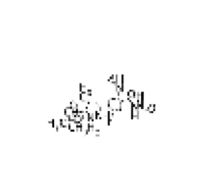 CC(CC(=N)c1cc(NC2CC2)c(C(=O)NNC=O)cc1F)C(N)C(=O)OC(C)(C)C